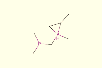 CC1C[PH]1(C)CP(C)C